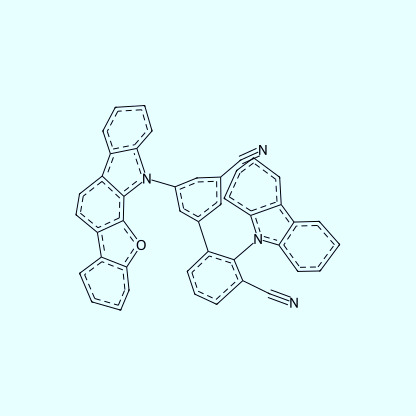 N#Cc1cc(-c2cccc(C#N)c2-n2c3ccccc3c3ccccc32)cc(-n2c3ccccc3c3ccc4c5ccccc5oc4c32)c1